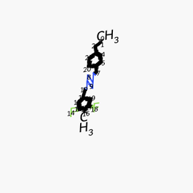 CCCc1ccc(C=NN=Cc2cc(F)c(C)c(F)c2)cc1